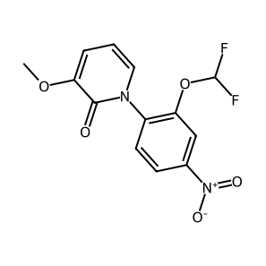 COc1cccn(-c2ccc([N+](=O)[O-])cc2OC(F)F)c1=O